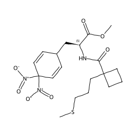 COC(=O)[C@H](CC1C=CC([N+](=O)[O-])([N+](=O)[O-])C=C1)NC(=O)C1(CCCSC)CCC1